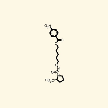 O=C(OCCCCCON=[N+]([O-])N1CCC[C@H]1C(=O)O)c1ccc([N+](=O)[O-])cc1